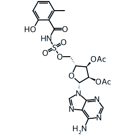 CC(=O)O[C@@H]1[C@H](OC(C)=O)[C@@H](COS(=O)(=O)NC(=O)c2c(C)cccc2O)O[C@H]1n1cnc2c(N)ncnc21